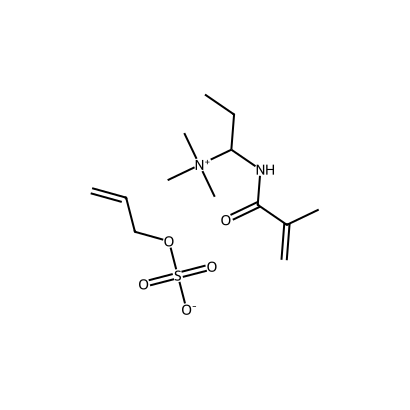 C=C(C)C(=O)NC(CC)[N+](C)(C)C.C=CCOS(=O)(=O)[O-]